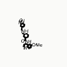 COc1ccc2nccc(NC(=O)C3CCCC(CNCc4ccc5nonc5c4)C3)c2c1